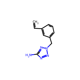 C=Cc1cccc(Cn2nnc(N)n2)c1